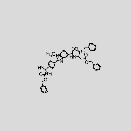 Cn1c(-c2ccc(C(=N)NC(=O)OCc3ccccc3)cc2)nc2cc(C(=O)NC(CC(=O)OCc3ccccc3)C(=O)OCc3ccccc3)ccc21